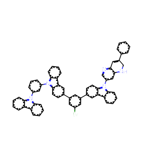 Brc1cc(-c2ccc3c(c2)c2ccccc2n3-c2cccc(-n3c4ccccc4c4ccccc43)c2)cc(-c2ccc3c(c2)c2ccccc2n3-c2cnc3c(c2)NCC(c2ccccc2)=C3)c1